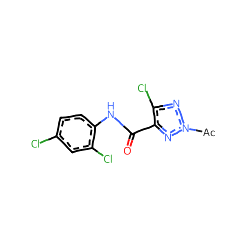 CC(=O)n1nc(Cl)c(C(=O)Nc2ccc(Cl)cc2Cl)n1